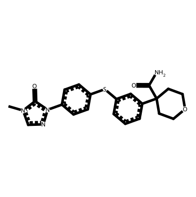 Cn1cnn(-c2ccc(Sc3cccc(C4(C(N)=O)CCOCC4)c3)cc2)c1=O